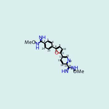 CONC(=N)c1ccc(-c2ccc(-c3ccc(C(=N)NOC)nc3)o2)cc1